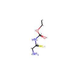 CCOC(=O)NC(=S)CN